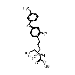 CC(C)(C)OC(=O)N[C@@](C)(CO)CCCc1ccc(Oc2cccc(C(F)(F)F)c2)cc1Cl